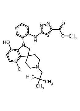 COC(=O)c1nnc(Nc2ccccc2N2CC3(CCN(CC(C)(C)C)CC3)c3c(Cl)ccc(O)c32)s1